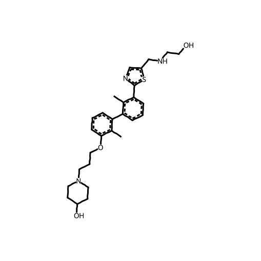 Cc1c(OCCCN2CCC(O)CC2)cccc1-c1cccc(-c2ncc(CNCCO)s2)c1C